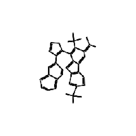 CC(C)=c1cc2c(c(C3=C(c4ccc5ccccc5c4)C=CC3)c1C(C)(C)C)=[C]c1cc(C(C)(C)C)ccc1-2